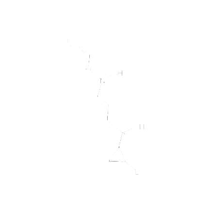 C=CON(S)CCCC(C)C1CC1CC